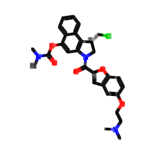 CCN(C)C(=O)Oc1cc2c(c3ccccc13)[C@H](CCl)CN2C(=O)c1cc2cc(OCCN(C)C)ccc2o1